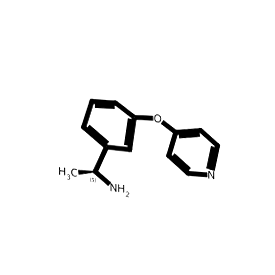 C[C@H](N)c1cccc(Oc2ccncc2)c1